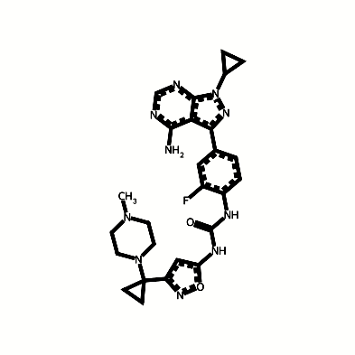 CN1CCN(C2(c3cc(NC(=O)Nc4ccc(-c5nn(C6CC6)c6ncnc(N)c56)cc4F)on3)CC2)CC1